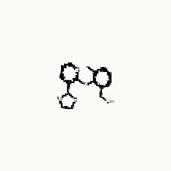 OCc1cccc(Cl)c1Sc1ncccc1C1OCCO1